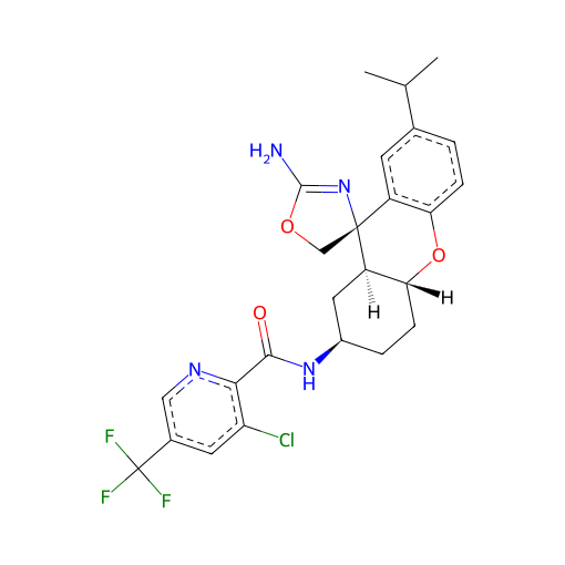 CC(C)c1ccc2c(c1)[C@]1(COC(N)=N1)[C@@H]1C[C@H](NC(=O)c3ncc(C(F)(F)F)cc3Cl)CC[C@H]1O2